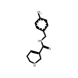 O=C(NCc1ccc(C(F)(F)F)cc1)C1=CCCNC1